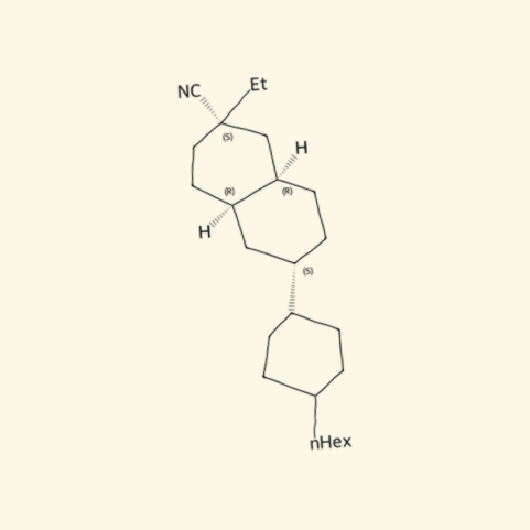 CCCCCCC1CCC([C@H]2CC[C@@H]3C[C@](C#N)(CC)CC[C@@H]3C2)CC1